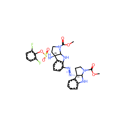 COC(=O)N1CC[C@]2(/N=N/c3cccc4c3NC3N(C(=O)OC)CC[C@@]43NS(=O)(=O)Oc3c(F)cccc3F)c3ccccc3NC12